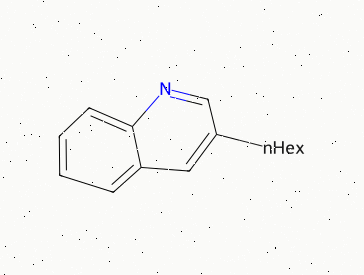 CCCCCCc1cnc2ccccc2c1